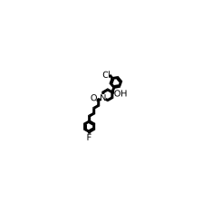 O=C(CCCCc1ccc(F)cc1)N1CCC(O)(c2cccc(Cl)c2)CC1